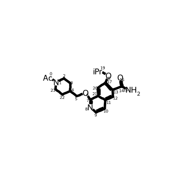 CC(=O)N1CCC(COc2nccc3cc(C(N)=O)c(OC(C)C)cc23)CC1